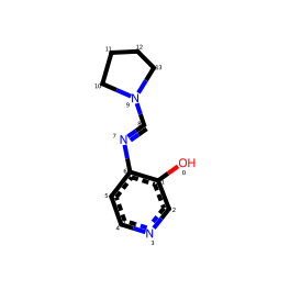 Oc1cnccc1/N=C/N1CCCC1